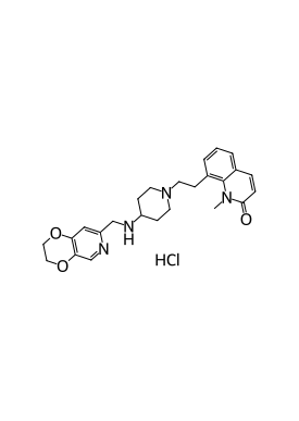 Cl.Cn1c(=O)ccc2cccc(CCN3CCC(NCc4cc5c(cn4)OCCO5)CC3)c21